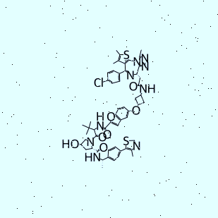 Cc1ncsc1-c1ccc([C@H](C)NC(=O)[C@@H]2C[C@@H](O)CN2C(=O)C(NC(=O)c2cc3cc(O[C@H]4C[C@H](NC(=O)C[C@@H]5N=C(c6ccc(Cl)cc6)c6c(sc(C)c6C)-n6c(C)nnc65)C4)ccc3o2)C(C)(C)C)cc1